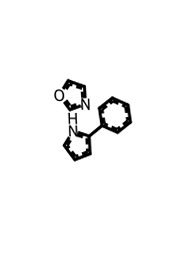 c1ccc(-c2ccc[nH]2)cc1.c1cocn1